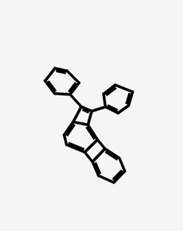 c1ccc(-c2c(-c3ccccc3)c3c2ccc2c4ccccc4c23)cc1